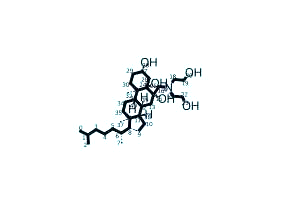 CC(C)CCC[C@@H](C)[C@H]1CC[C@H]2[C@@H]3C[C@](O)(CN(CCO)CCO)[C@@]4(O)C[C@@H](O)CC[C@]4(C)[C@H]3CC[C@]12C